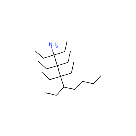 CCCCC(CC)C(CC)(CC)C(CC)(CC)C(N)(CC)CC